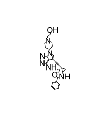 Nc1ncnc2c1c(C#CC1CC1NC(=O)c1ccccc1)cn2C1CCN(CCO)CC1